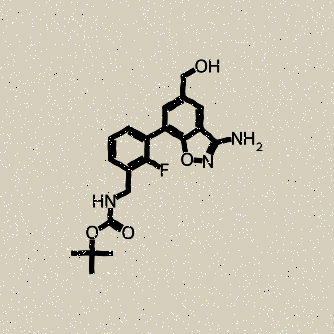 CC(C)(C)OC(=O)NCc1cccc(-c2cc(CO)cc3c(N)noc23)c1F